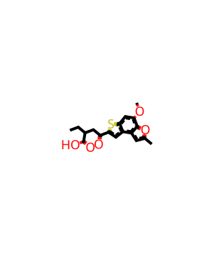 CCC(CC(=O)c1cc2c(cc(OC)c3oc(C)cc32)s1)C(=O)O